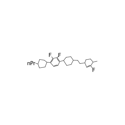 CCCC1CCC(c2ccc(C3CCC(CCC4C=C(F)C(C)CC4)CC3)c(F)c2F)CC1